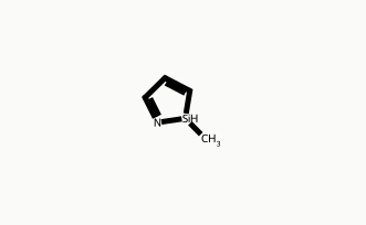 C[SiH]1C=CC=N1